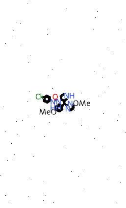 COc1ccc(C(c2nccc(OC)n2)C2CNCCC2NC(=O)Nc2ccc(Cl)cc2)cc1